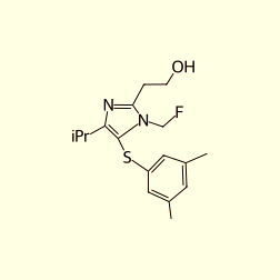 Cc1cc(C)cc(Sc2c(C(C)C)nc(CCO)n2CF)c1